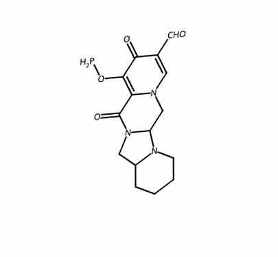 O=Cc1cn2c(c(OP)c1=O)C(=O)N1CC3CCCCN3C1C2